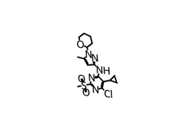 Cc1cc(Nc2nc(S(C)(=O)=O)nc(Cl)c2C2CC2)nn1C1CCCCO1